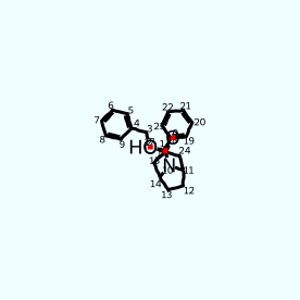 O=C(OCc1ccccc1)N1C2CCC1CC(O)(c1ccccc1)C2